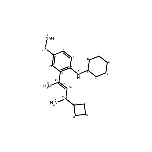 CNSc1ccc(NC2CCCCC2)c(/C(N)=N/N(N)C2CCC2)c1